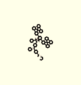 c1ccc(-c2nc3c(-c4ccc5c(c4)C4(c6ccccc6-c6ccccc64)c4ccccc4-5)ccc(-c4ccc5c(c4)C4(c6ccccc6-c6ccccc64)c4ccccc4-5)c3nc2-c2ccc(N(c3ccccc3)c3ccc(-c4cn5ccccc5n4)cc3)cc2)cc1